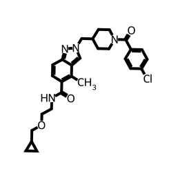 Cc1c(C(=O)NCCOCC2CC2)ccc2nn(CC3CCN(C(=O)c4ccc(Cl)cc4)CC3)cc12